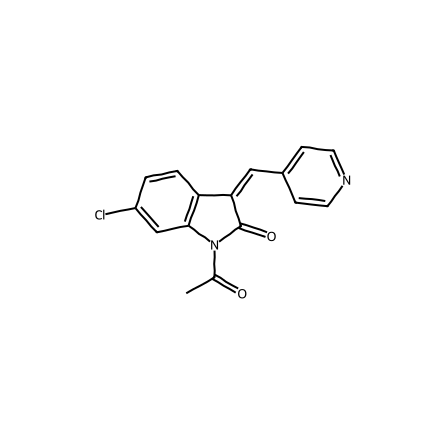 CC(=O)N1C(=O)C(=Cc2ccncc2)c2ccc(Cl)cc21